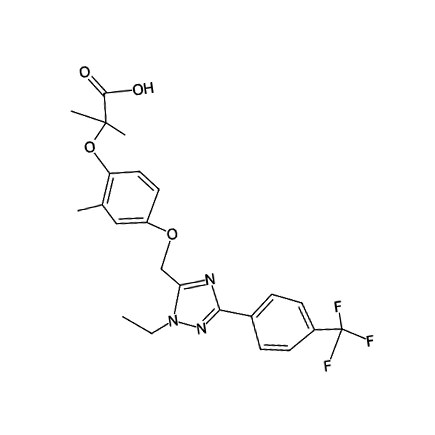 CCn1nc(-c2ccc(C(F)(F)F)cc2)nc1COc1ccc(OC(C)(C)C(=O)O)c(C)c1